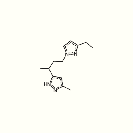 CCc1ccn(CCC(C)c2cc(C)n[nH]2)n1